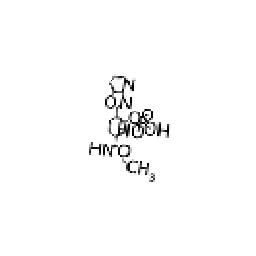 CCOC(=N)c1ccc(-c2nc3ncccc3o2)c(OP(=O)(O)O)c1